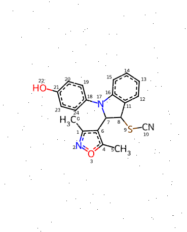 Cc1noc(C)c1C1C(SC#N)c2ccccc2N1c1ccc(O)cc1